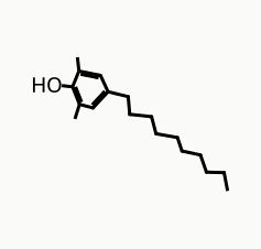 CCCCCCCCCCc1cc(C)c(O)c(C)c1